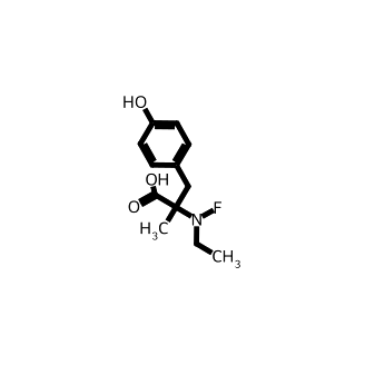 CCN(F)C(C)(Cc1ccc(O)cc1)C(=O)O